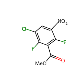 COC(=O)c1c(F)c(Cl)cc([N+](=O)[O-])c1F